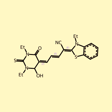 CCN1C(=O)\C(=C/C=C/C(C#N)=C2\Sc3ccccc3N2CC)C(O)N(CC)C1=S